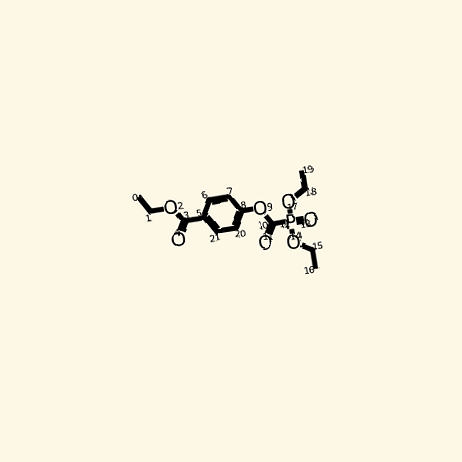 CCOC(=O)c1ccc(OC(=O)P(=O)(OCC)OCC)cc1